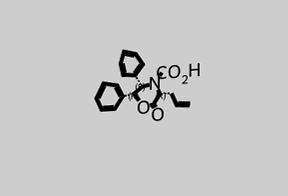 C=CC[C@@H]1C(=O)O[C@H](c2ccccc2)[C@H](c2ccccc2)N1C(=O)O